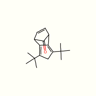 CC(C)(C)C1=C2C(=C(C(C)(C)C)C1)C1C=CC2C1=O